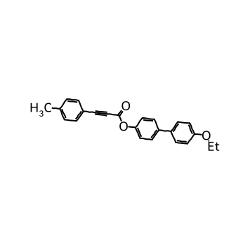 CCOc1ccc(-c2ccc(OC(=O)C#Cc3ccc(C)cc3)cc2)cc1